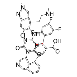 CNCCc1c(Nc2nc(=O)n(-c3cncc4cccc(-c5cccc(C(=O)O)c5)c34)c(=O)n2Cc2cc(F)c(F)cc2F)c(Cl)cc2nn(C)cc12